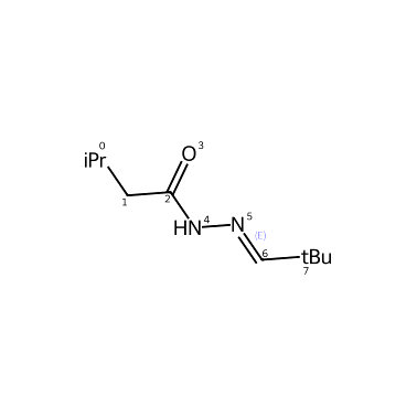 CC(C)CC(=O)N/N=C/C(C)(C)C